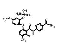 BC(B)(O)Oc1cc(OC(F)(F)F)ccc1Oc1ccc(C(F)(F)F)c(F)c1C(=O)Nc1ccc(C(N)=O)nc1